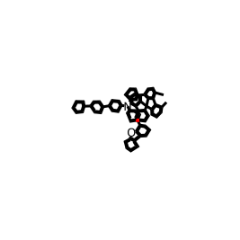 Cc1cccc2c1-c1c(C)ccc(-c3cccc(N(c4ccc(-c5ccc(-c6ccccc6)cc5)cc4)c4ccc(-c5cccc6c5oc5ccccc56)cc4)c3)c1C21c2ccccc2-c2ccccc21